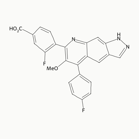 COc1c(-c2ccc(C(=O)O)cc2F)nc2cc3[nH]ncc3cc2c1-c1ccc(F)cc1